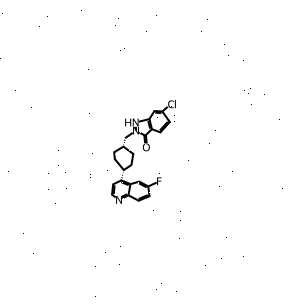 O=c1c2ccc(Cl)cc2[nH]n1C[C@H]1CC[C@@H](c2ccnc3ccc(F)cc32)CC1